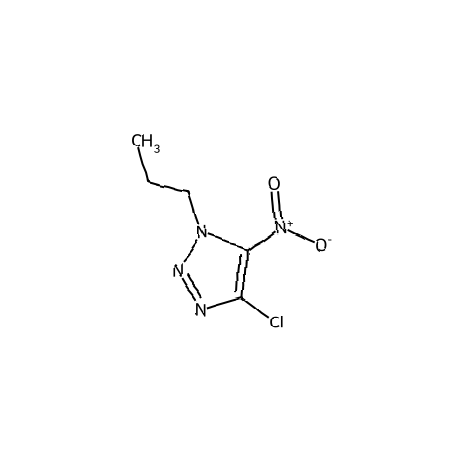 CCCn1nnc(Cl)c1[N+](=O)[O-]